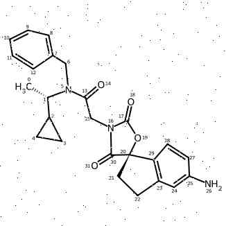 C[C@@H](C1CC1)N(Cc1ccccc1)C(=O)CN1C(=O)O[C@@]2(CCc3cc(N)ccc32)C1=O